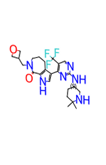 CC1(C)CC[C@H](Nc2ncc(C(F)(F)F)c(-c3c[nH]c4c3CCCN(CC3COC3)C4=O)n2)CN1